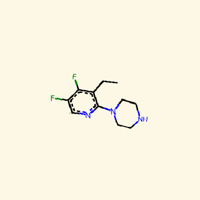 CCc1c(N2CCNCC2)n[c]c(F)c1F